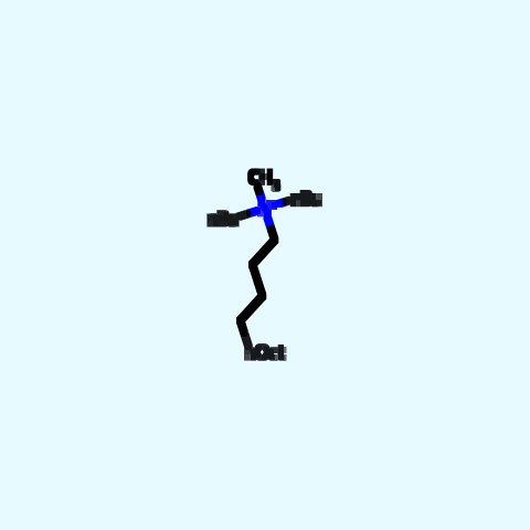 CCCCCCCCCCCC[N+](C)(CCCC)CCCC